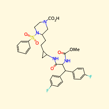 COC(=O)NC(C(=O)NC1CC1CCC1CN(C(=O)O)CCN1S(=O)(=O)c1ccccc1)C(c1ccc(F)cc1)c1ccc(F)cc1